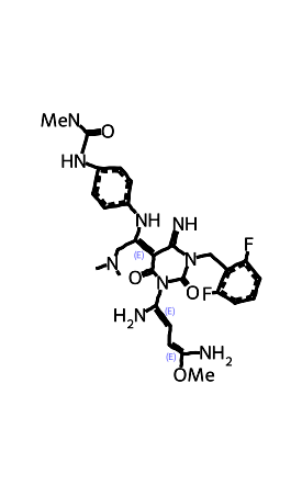 CNC(=O)Nc1ccc(N/C(CN(C)C)=C2\C(=N)N(Cc3c(F)cccc3F)C(=O)N(/C(N)=C/C=C(\N)OC)C2=O)cc1